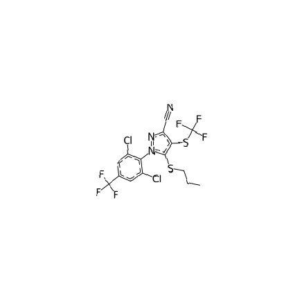 CCCSc1c(SC(F)(F)F)c(C#N)nn1-c1c(Cl)cc(C(F)(F)F)cc1Cl